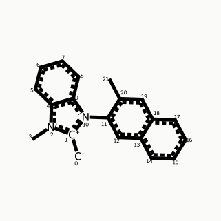 [CH2-][c+]1n(C)c2ccccc2n1-c1cc2ccccc2cc1C